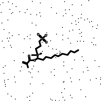 C=C(C)C(=O)OC(CCCCCCCCCC)[N+](C)(C)CCCS(=O)(=O)[O-]